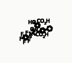 CN(Sc1c(F)c(F)c(F)c(F)c1F)C(CC(=O)O)C(=O)N(Cc1ccc(C2CCCCC2)cc1)c1ccc(C(=O)O)c(O)c1